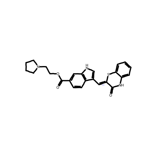 O=C1Nc2ccccc2S/C1=C\c1c[nH]c2cc(C(=O)OCCN3CCCC3)ccc12